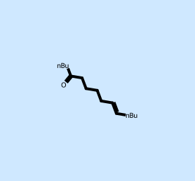 CCCCC=CCCCCC(=O)CCCC